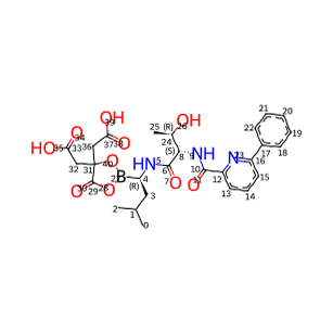 CC(C)C[C@H](NC(=O)[C@@H](NC(=O)c1cccc(-c2ccccc2)n1)[C@@H](C)O)B1OC(=O)C(CC(=O)O)(CC(=O)O)O1